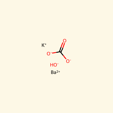 O=C([O-])[O-].[Ba+2].[K+].[OH-]